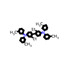 CCc1cc(N(c2cccc(C)c2)c2cccc(C)c2)ccc1-c1ccc(N(c2cccc(C)c2)c2cccc(C)c2)cc1CC